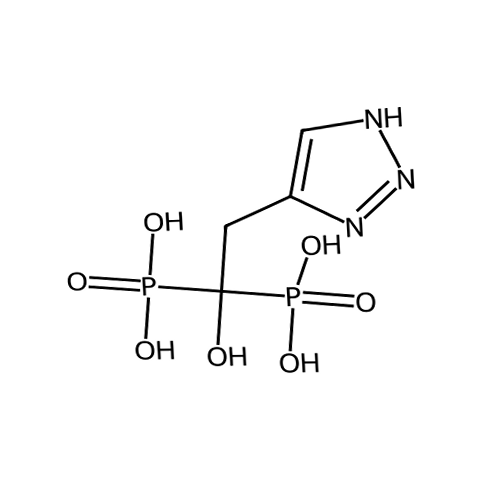 O=P(O)(O)C(O)(Cc1c[nH]nn1)P(=O)(O)O